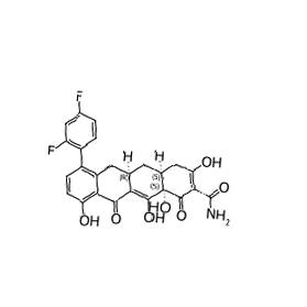 NC(=O)C1=C(O)C[C@@H]2C[C@@H]3Cc4c(-c5ccc(F)cc5F)ccc(O)c4C(=O)C3=C(O)[C@]2(O)C1=O